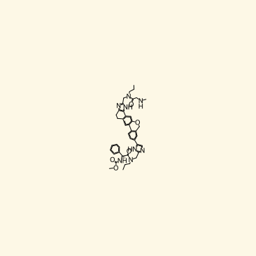 CCCN(Cc1nc2c([nH]1)-c1cc3c(cc1CC2)-c1ccc(-c2cnc(CN(CCC)C(=O)[C@H](NC(=O)OC)c4ccccc4)[nH]2)cc1CO3)C(=O)CNC